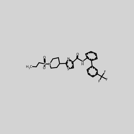 CCCS(=O)(=O)N1CCC(c2nc(C(=O)Nc3ccccc3-c3cccc(C(F)(F)F)c3)cs2)CC1